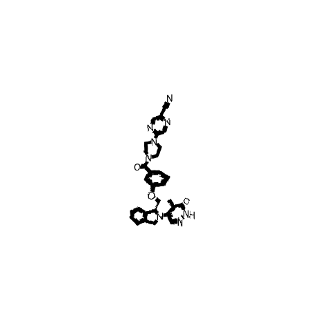 Cc1c(N2Cc3ccccc3[C@H]2COc2cccc(C(=O)N3CCN(c4cnc(C#N)cn4)CC3)c2)cn[nH]c1=O